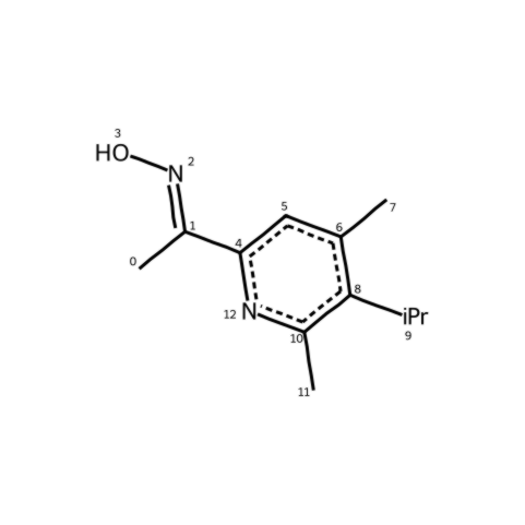 C/C(=N\O)c1cc(C)c(C(C)C)c(C)n1